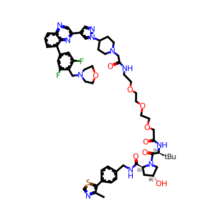 Cc1ncsc1-c1ccc(CNC(=O)[C@@H]2C[C@@H](O)CN2C(=O)[C@@H](NC(=O)COCCOCCOCCNC(=O)CN2CCC(n3cc(-c4cnc5cccc(-c6cc(F)c(CN7CCOCC7)c(F)c6)c5n4)cn3)CC2)C(C)(C)C)cc1